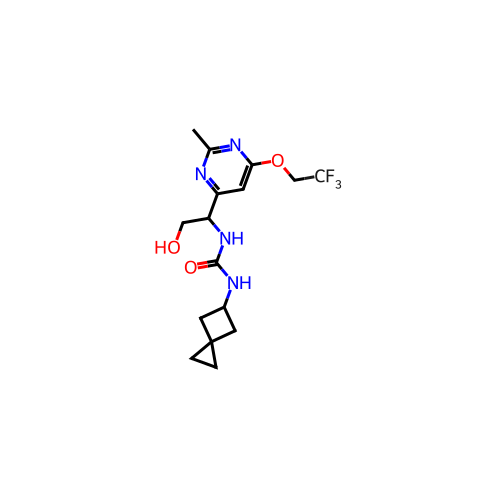 Cc1nc(OCC(F)(F)F)cc(C(CO)NC(=O)NC2CC3(CC3)C2)n1